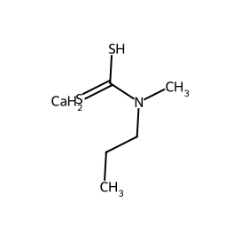 CCCN(C)C(=S)S.[CaH2]